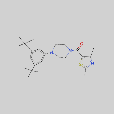 Cc1nc(C)c(C(=O)N2CCN(c3cc(C(C)(C)C)cc(C(C)(C)C)c3)CC2)s1